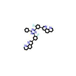 Fc1ccc(-c2cnc3c(ccc4cccnc43)c2)cc1-c1nc(-c2ccccc2)nc(-c2cc(-c3cnc4c(ccc5cccnc54)c3)ccc2F)n1